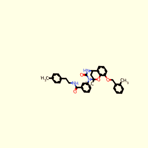 Cc1ccc(CCNC(=O)c2cccc(N3C(=O)NC4CC3(C)Oc3c(OCc5ccccc5C)cccc34)c2)cc1